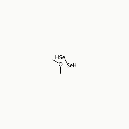 COC.[SeH][SeH]